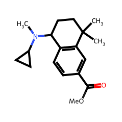 COC(=O)c1ccc2c(c1)C(C)(C)CCC2N(C)C1CC1